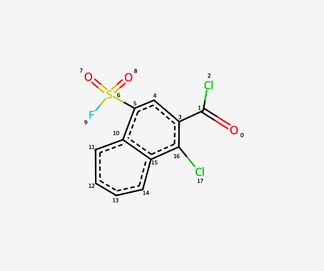 O=C(Cl)c1cc(S(=O)(=O)F)c2ccccc2c1Cl